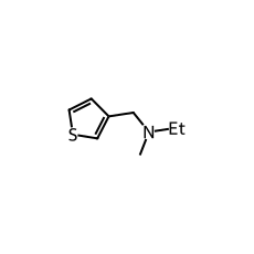 CCN(C)Cc1ccsc1